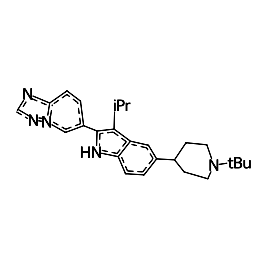 CC(C)c1c(-c2ccc3ncnn3c2)[nH]c2ccc(C3CCN(C(C)(C)C)CC3)cc12